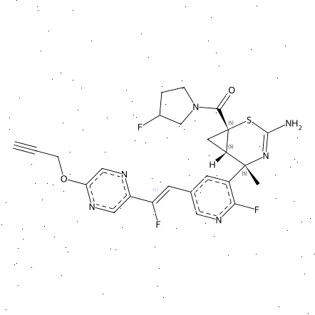 C#CCOc1cnc(/C(F)=C/c2cnc(F)c([C@@]3(C)N=C(N)S[C@@]4(C(=O)N5CCC(F)C5)C[C@H]43)c2)cn1